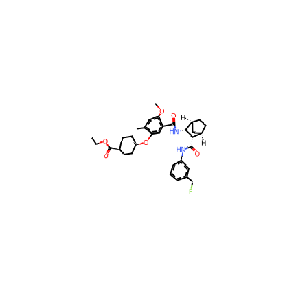 CCOC(=O)[C@H]1CC[C@@H](Oc2cc(C(=O)N[C@@H]3[C@H]4CC[C@H](C4)[C@@H]3C(=O)Nc3cccc(CF)c3)c(OC)cc2C)CC1